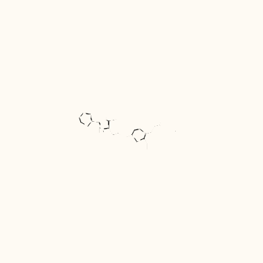 CCc1cc(OCCc2nc(-c3ccccc3)oc2C)ccc1CCC(=O)O